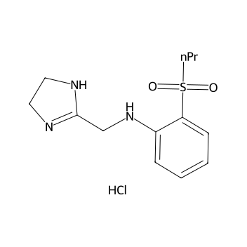 CCCS(=O)(=O)c1ccccc1NCC1=NCCN1.Cl